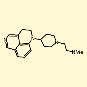 CNCCN1CCC(N2CCc3cncc4cccc2c34)CC1